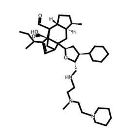 CCC(C)C1=CC2CC3(C=O)[C@@H]4CC[C@@H](C)[C@H]4CC2([C@H]2C[C@@H](C4CCCCC4)[C@H](CNCCN(C)CCN4CCCCC4)O2)[C@]13C(=O)O